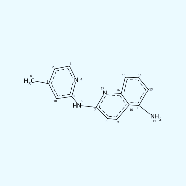 Cc1ccnc(Nc2ccc3c(N)cccc3n2)c1